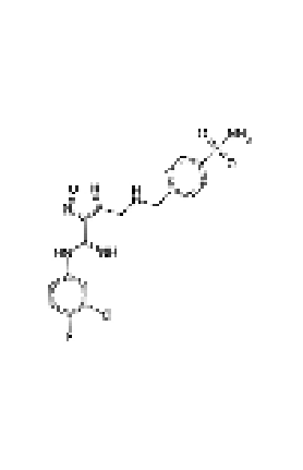 N=C(Nc1ccc(F)c(Cl)c1)c1nonc1CNCc1ccc(S(N)(=O)=O)cc1